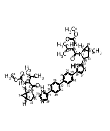 COC(=O)N[C@H](C(=O)N1[C@H]2C[C@@]2(C)C[C@H]1c1ncc(-c2ccc(-c3ccc(-c4cnc([C@@H]5C[C@@H]6C[C@@H]6N5C(=O)[C@@H](NC(=O)OC)C(C)C)[nH]4)cc3)cc2)[nH]1)C(C)C